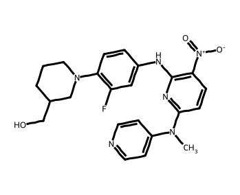 CN(c1ccncc1)c1ccc([N+](=O)[O-])c(Nc2ccc(N3CCCC(CO)C3)c(F)c2)n1